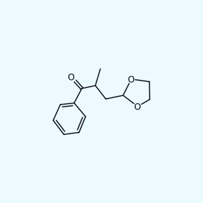 CC(CC1OCCO1)C(=O)c1ccccc1